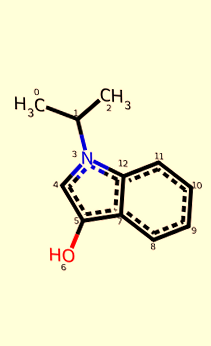 CC(C)n1cc(O)c2ccccc21